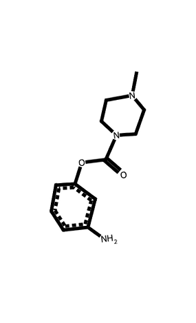 CN1CCN(C(=O)Oc2cccc(N)c2)CC1